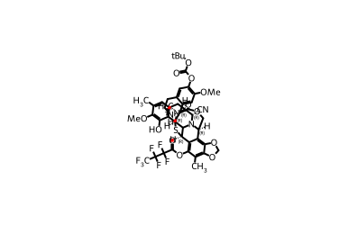 COc1cc2c(cc1OC(=O)OC(C)(C)C)CCN[C@]21CS[C@@H]2c3c(OC(=O)C(F)(F)C(F)(F)C(F)(F)F)c(C)c4c(c3[C@H](COC1=O)N1C2[C@H]2c3c(cc(C)c(OC)c3O)C[C@@H]([C@@H]1C#N)N2C)OCO4